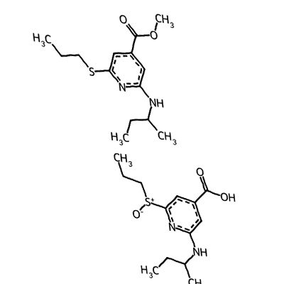 CCCSc1cc(C(=O)OC)cc(NC(C)CC)n1.CCC[S+]([O-])c1cc(C(=O)O)cc(NC(C)CC)n1